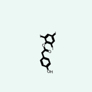 O=C(Cc1ccc(O)cc1)Oc1c(I)cc(I)cc1I